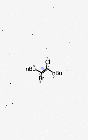 CCCC/C(Cl)=C(\Br)CCCC